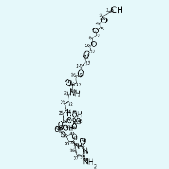 C#CCOCCOCCOCCOCCOCCC(=O)NCCCCCCOP(=O)(O)OC1C[C@H](n2ccc(N)nc2=O)O[C@@H]1COP(=O)(O)O